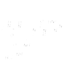 CNC(=O)NCCN(CCNC(=O)NC)C(=O)Nc1nnc[nH]1